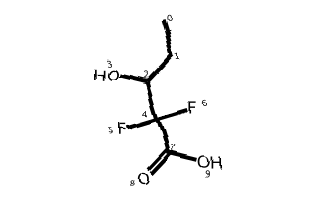 CCC(O)C(F)(F)C(=O)O